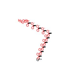 CC(=O)[O-].CC(=O)[O-].CC(=O)[O-].CC(=O)[O-].CC(=O)[O-].CC(=O)[O-].CC(=O)[O-].CC(=O)[O-].CC(=O)[O-].CC(=O)[O-].[OH4+2].[OH4+2].[U+6]